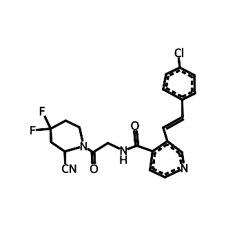 N#CC1CC(F)(F)CCN1C(=O)CNC(=O)c1ccncc1/C=C/c1ccc(Cl)cc1